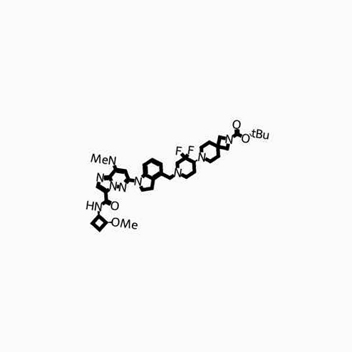 CNc1cc(N2CCc3c(CN4CC[C@@H](N5CCC6(CC5)CN(C(=O)OC(C)(C)C)C6)C(F)(F)C4)cccc32)nn2c(C(=O)N[C@@H]3CC[C@H]3OC)cnc12